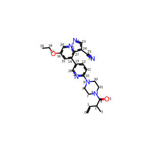 C=CC(C)C(=O)N1CCN(c2ccc(-c3cc(OCC)cn4ncc(C#N)c34)cn2)CC1